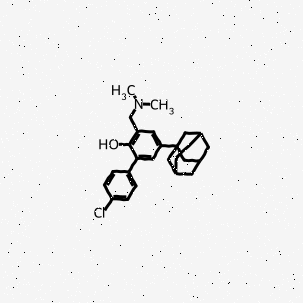 CN(C)Cc1cc(C23CC4CC(CC(C4)C2)C3)cc(-c2ccc(Cl)cc2)c1O